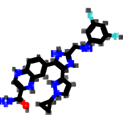 NC(=O)c1cnc2ccc(-c3[nH]c(CNc4cc(F)cc(F)c4)nc3-c3ccn(C4CC4)n3)cc2n1